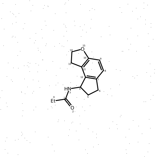 CCC(=O)NC1CCc2ccc3c(c21)CCO3